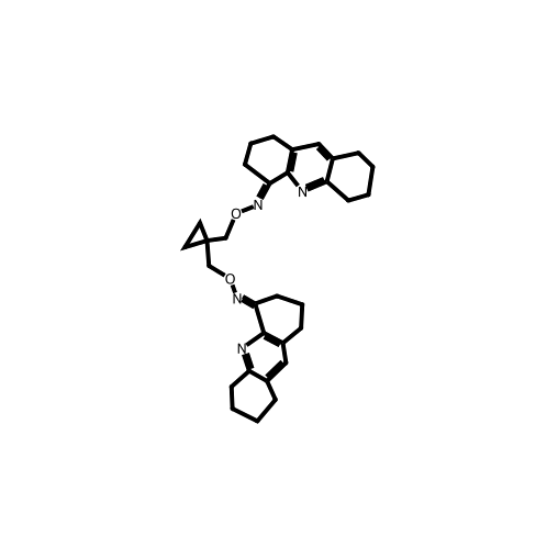 c1c2c(nc3c1CCC/C3=N\OCC1(CO/N=C3\CCCc4cc5c(nc43)CCCC5)CC1)CCCC2